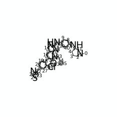 CN1CCCC(Nc2ccc(Nc3ncc4cc(-c5ccc(-c6cscn6)cc5Cl)c(=O)n(CC5CC5)c4n3)cc2)C1